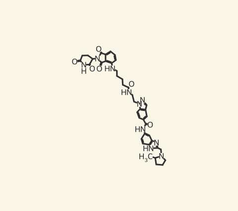 CC1CCCN1Cc1nc2cc(NC(=O)c3ccc4c(cnn4CCNC(=O)CCCCNc4cccc5c4C(=O)N(C4CCC(=O)NC4=O)C5=O)c3)ccc2[nH]1